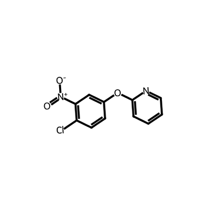 O=[N+]([O-])c1cc(Oc2ccccn2)ccc1Cl